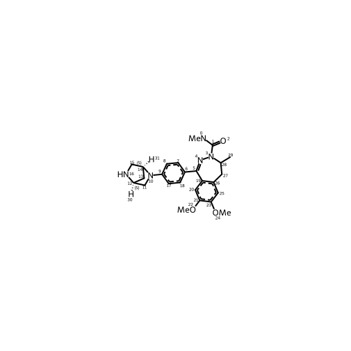 CNC(=O)N1N=C(c2ccc(N3C[C@@H]4C[C@H]3CN4)cc2)c2cc(OC)c(OC)cc2CC1C